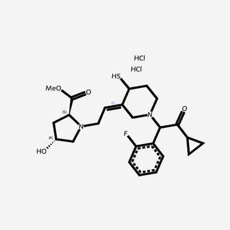 COC(=O)[C@@H]1C[C@@H](O)CN1C/C=C1\CN(C(C(=O)C2CC2)c2ccccc2F)CCC1S.Cl.Cl